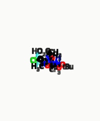 CN(C(=O)[C@@H]1CN(CC(C)(C)C(=O)O)C(=O)N1c1cc(C(F)(F)F)cc(NC(=O)OC(C)(C)C)n1)c1ccc(F)c(Cl)c1F